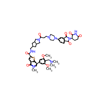 COc1cc(-c2cn(C)c(=O)c3cc(C(=O)NCC4CC5CN(C(=O)CCN6CCN(c7ccc8c(c7)C(=O)N(C7CCC(=O)NC7=O)C8=O)CC6)CC5C4)sc23)cc(OC)c1CN(C)C